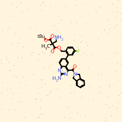 CC(C)(C)OC(=O)C(C)(CN)C(=O)OCc1ccc(F)cc1-c1ccc2nc(N)nc(C(=O)N3Cc4ccccc4C3)c2c1